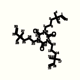 C=CC(C)(C)CCCn1c(=O)n(CCCC(C)(C)C=C)c(=O)n(CCCC(C)(C)C=C)c1=O